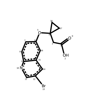 O=C(O)CC1(Oc2ccc3ncc(Br)cc3c2)CC1